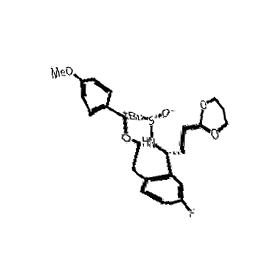 COc1ccc(COCCc2ccc(F)cc2[C@@H](CCC2OCCCO2)N[S+]([O-])C(C)(C)C)cc1